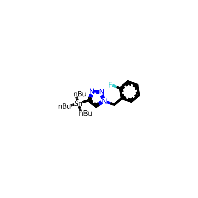 CCC[CH2][Sn]([CH2]CCC)([CH2]CCC)[c]1cn(Cc2ccccc2F)nn1